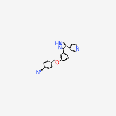 N#Cc1ccc(COc2cccc(-c3n[nH]cc3-c3ccncc3)c2)cc1